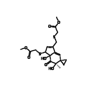 COC(=O)CSCC1=CC(SCC(=O)OC)C2(O)C(=O)[C@](C)(O)C3(C=C12)CC3